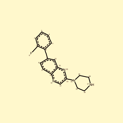 Fc1ccccc1-c1ccc2ncc(N3CCNCC3)nc2c1